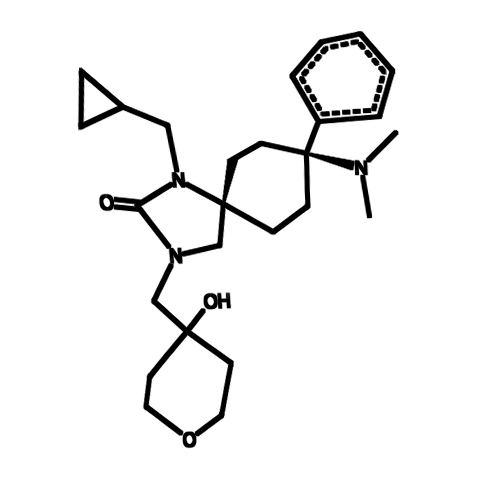 CN(C)[C@]1(c2ccccc2)CC[C@@]2(CC1)CN(CC1(O)CCOCC1)C(=O)N2CC1CC1